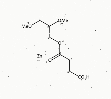 COCC(COC(=O)CCC(=O)O)OC.[Zn]